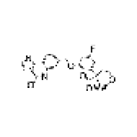 COC(=O)C1(c2cc(F)cc(OCc3ccc4c(c3)nc(Cl)n3ccnc43)c2)CCOCC1